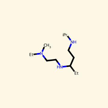 CCC(CCNC(C)C)NCCN(C)CC